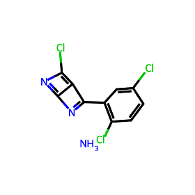 Clc1ccc(Cl)c(-c2nc3nc(Cl)c2-3)c1.N